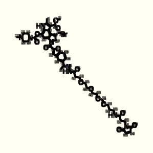 COC(=O)c1c(C)[nH]c2c(OC(=O)N3CCN(C)CC3)cc3c(c12)[C@H](CBr)CN3C(=O)c1cc2cc(/C(C)=N/NC(=O)CCOCCOCCOCOCCCNC(=O)CCN3C(=O)C=CC3=O)ccc2o1